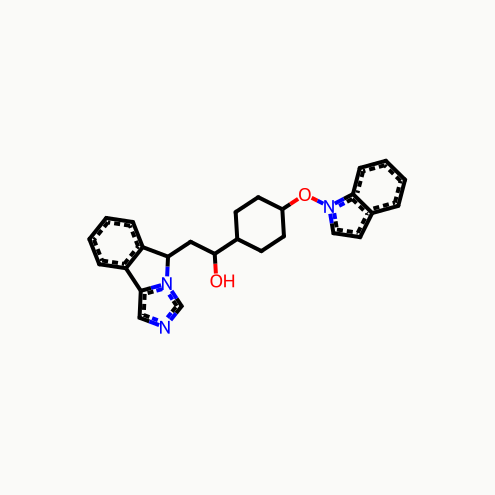 OC(CC1c2ccccc2-c2cncn21)C1CCC(On2ccc3ccccc32)CC1